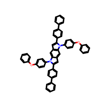 c1ccc(Oc2ccc(-n3c(-c4ccc(-c5ccccc5)cc4)cc4cc5c(cc(-c6ccc(-c7ccccc7)cc6)n5-c5ccc(Oc6ccccc6)cc5)cc43)cc2)cc1